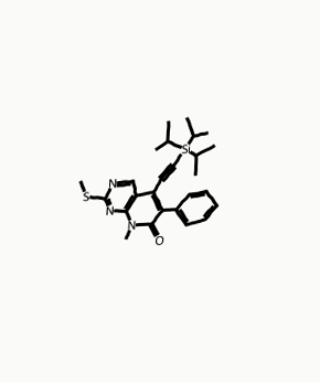 CSc1ncc2c(C#C[Si](C(C)C)(C(C)C)C(C)C)c(-c3ccccc3)c(=O)n(C)c2n1